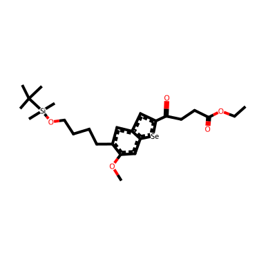 CCOC(=O)CCC(=O)c1cc2cc(CCCCO[Si](C)(C)C(C)(C)C)c(OC)cc2[se]1